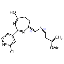 C=C(C/C=N\C=C1/CCC(O)=NC(c2ccnc(Cl)c2)=N1)OC